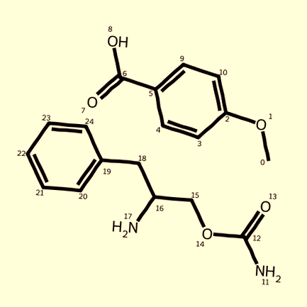 COc1ccc(C(=O)O)cc1.NC(=O)OCC(N)Cc1ccccc1